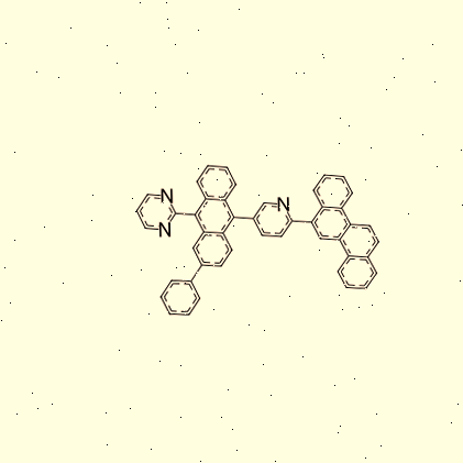 c1ccc(-c2ccc3c(-c4ccc(-c5cc6c7ccccc7ccc6c6ccccc56)nc4)c4ccccc4c(-c4ncccn4)c3c2)cc1